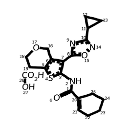 O=C(Nc1sc2c(c1-c1nc(C3CC3)no1)COCC2)C1=CCCCC1.O=C(O)O